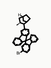 C[C@H]1C[C@@H]2CCC(C2)C1c1ccc2c(c1)-c1ccccc1C21c2ccccc2-c2ccc(Br)cc21